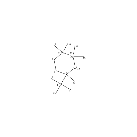 CC(C)(C)C1(C)CC[Si](C)(C)[Si](C)(C)O1